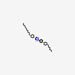 CCCCCCCCCC[C@H]1CC[C@H](c2cnc(-c3ccc([C@H]4CC[C@H](CCCCCC)CC4)cc3)nc2)CC1